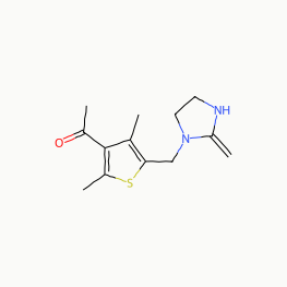 C=C1NCCN1Cc1sc(C)c(C(C)=O)c1C